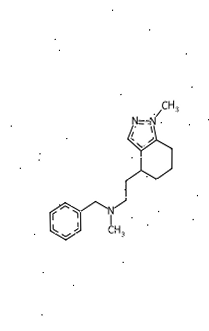 CN(CCC1CCCc2c1cnn2C)Cc1ccccc1